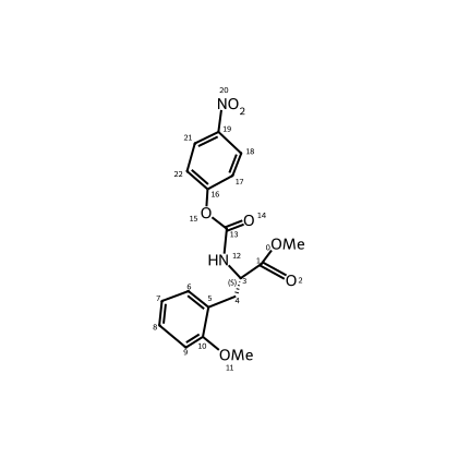 COC(=O)[C@H](Cc1ccccc1OC)NC(=O)Oc1ccc([N+](=O)[O-])cc1